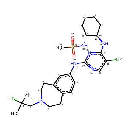 CC(C)(F)CN1CCc2ccc(Nc3ncc(Cl)c(N[C@@H]4CCCC[C@H]4NS(C)(=O)=O)n3)cc2CC1